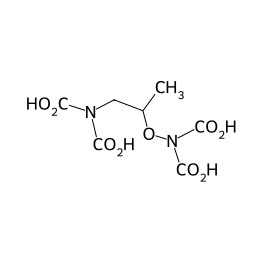 CC(CN(C(=O)O)C(=O)O)ON(C(=O)O)C(=O)O